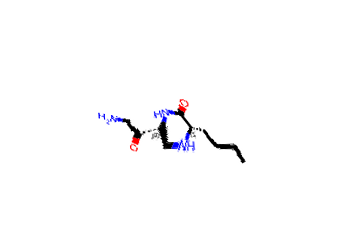 CCCC[C@@H]1NC[C@H](C(=O)CN)NC1=O